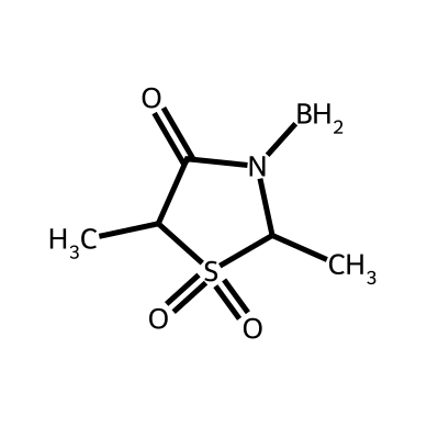 BN1C(=O)C(C)S(=O)(=O)C1C